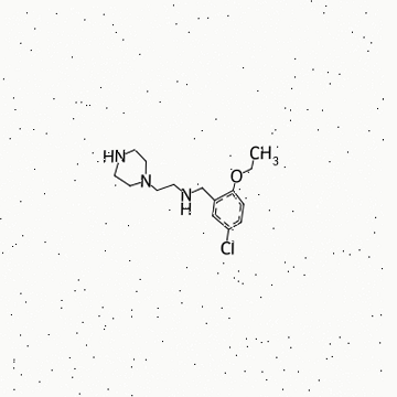 CCOc1ccc(Cl)cc1CNCCN1CCNCC1